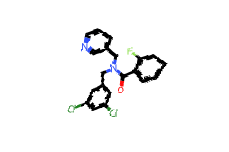 O=C(c1ccccc1F)N(Cc1cccnc1)Cc1cc(Cl)cc(Cl)c1